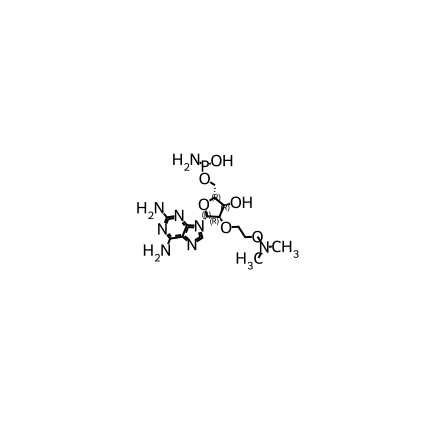 CN(C)OCCO[C@@H]1[C@H](O)[C@@H](COP(N)O)O[C@H]1n1cnc2c(N)nc(N)nc21